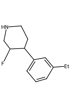 CCc1cccc(C2CCNCC2F)c1